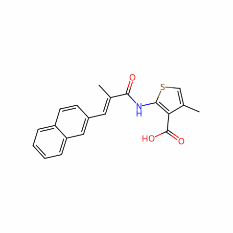 C/C(=C\c1ccc2ccccc2c1)C(=O)Nc1scc(C)c1C(=O)O